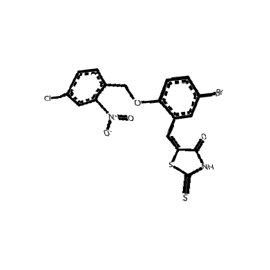 O=C1NC(=S)SC1=Cc1cc(Br)ccc1OCc1ccc(Cl)cc1[N+](=O)[O-]